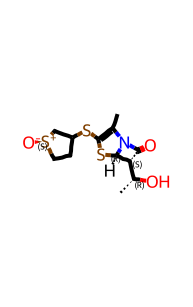 CC1=C(SC2CC[S@@+]([O-])C2)S[C@@H]2[C@@H]([C@@H](C)O)C(=O)N12